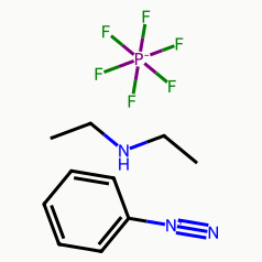 CCNCC.F[P-](F)(F)(F)(F)F.N#[N+]c1ccccc1